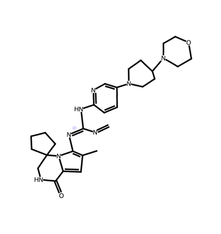 C=N/C(=N\c1c(C)cc2n1C1(CCCC1)CNC2=O)Nc1ccc(N2CCC(N3CCOCC3)CC2)cn1